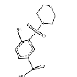 O=C(O)c1ccc(S)c(S(=O)(=O)N2CCOCC2)c1